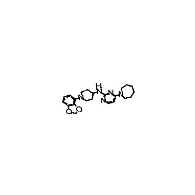 c1cc2c(c(N3CCC(Nc4nccc(N5CCCCCC5)n4)CC3)c1)OCO2